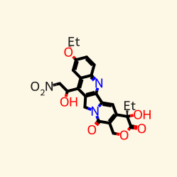 CCOc1ccc2nc3c(c(C(O)C[N+](=O)[O-])c2c1)Cn1c-3cc2c(c1=O)COC(=O)[C@]2(O)CC